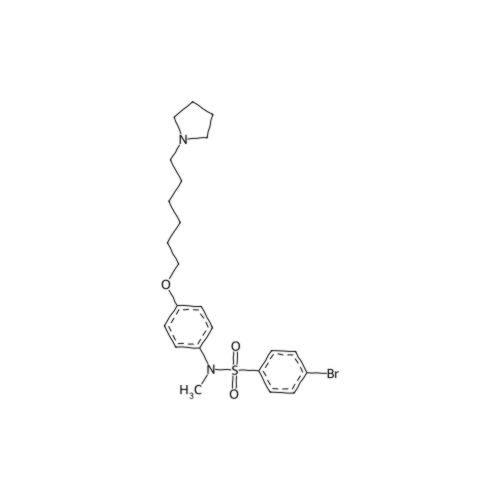 CN(c1ccc(OCCCCCCN2CCCC2)cc1)S(=O)(=O)c1ccc(Br)cc1